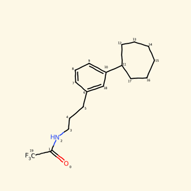 O=C(NCCCc1cccc(C2CCCCCC2)c1)C(F)(F)F